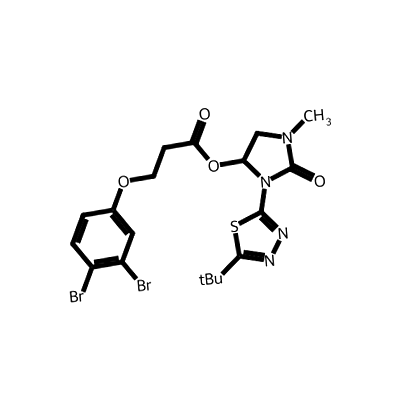 CN1CC(OC(=O)CCOc2ccc(Br)c(Br)c2)N(c2nnc(C(C)(C)C)s2)C1=O